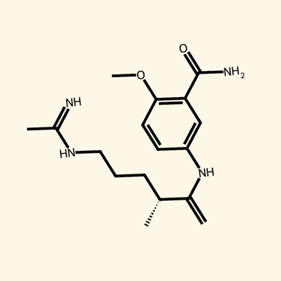 C=C(Nc1ccc(OC)c(C(N)=O)c1)[C@H](C)CCCNC(C)=N